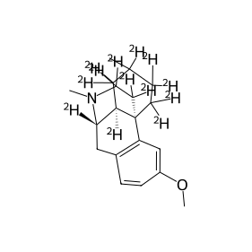 [2H]C1([2H])N(C)[C@@]2([2H])Cc3ccc(OC)cc3[C@]3(C1([2H])[2H])C([2H])([2H])C([2H])([2H])C([2H])(C)C([2H])([2H])[C@@]32[2H]